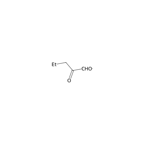 CCCC(=O)[C]=O